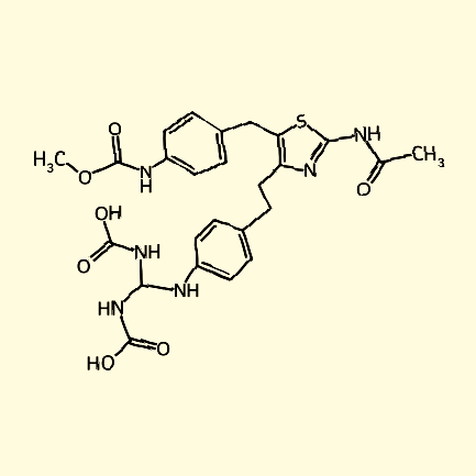 COC(=O)Nc1ccc(Cc2sc(NC(C)=O)nc2CCc2ccc(NC(NC(=O)O)NC(=O)O)cc2)cc1